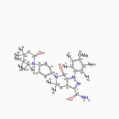 [2H]c1c([2H])c(-n2nc(C(N)=O)c3c2C(=O)N(c2ccc(N4C(=O)CC([2H])([2H])C([2H])([2H])C4([2H])[2H])cc2)C([2H])([2H])C3)c([2H])c([2H])c1OC